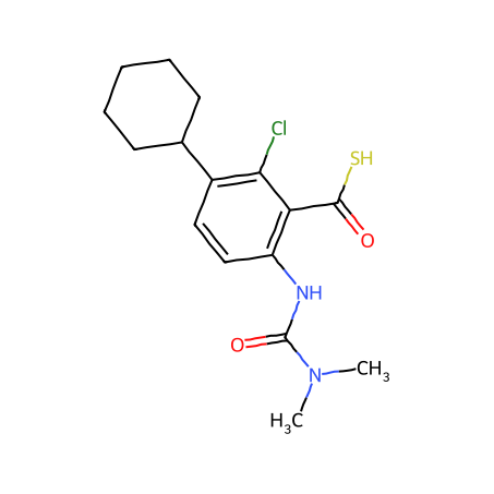 CN(C)C(=O)Nc1ccc(C2CCCCC2)c(Cl)c1C(=O)S